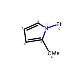 CCn1cccc1OC